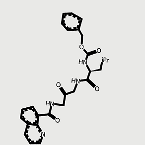 CC(C)C[C@H](NC(=O)OCc1ccccc1)C(=O)NCC(=O)CNC(=O)c1cccc2cccnc12